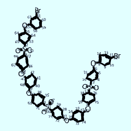 O=S(=O)(c1ccc(Oc2ccc(Br)cc2)cc1)c1ccc(Oc2ccc(Oc3ccc(S(=O)(=O)c4ccc(Oc5cccc(Oc6ccc(S(=O)(=O)c7ccc(Oc8cccc(Br)c8)cc7)cc6)c5)cc4)cc3)cc2)cc1